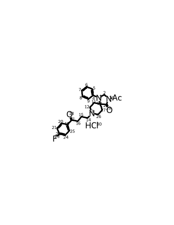 CC(=O)N1CN(c2ccccc2)C2(CCN(CCCC(=O)c3ccc(F)cc3)CC2)C1=O.Cl